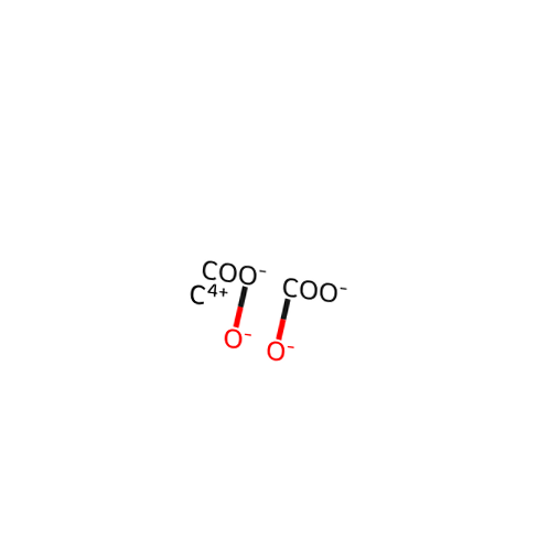 O=C([O-])[O-].O=C([O-])[O-].[C+4]